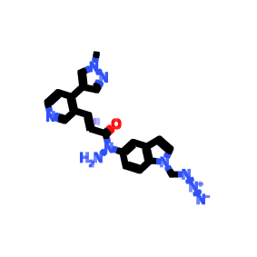 Cn1cc(-c2ccncc2/C=C/C(=O)N(N)c2ccc3c(ccn3CN=[N+]=[N-])c2)cn1